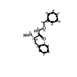 CN[C@@H](Cc1ccccc1)C(=O)NOCc1ccccc1